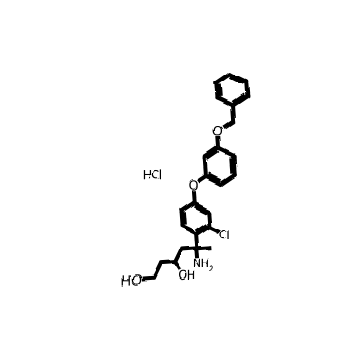 CC(N)(CC(O)CCO)c1ccc(Oc2cccc(OCc3ccccc3)c2)cc1Cl.Cl